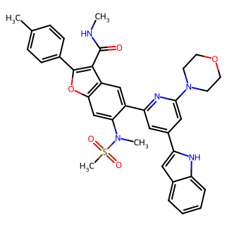 CNC(=O)c1c(-c2ccc(C)cc2)oc2cc(N(C)S(C)(=O)=O)c(-c3cc(-c4cc5ccccc5[nH]4)cc(N4CCOCC4)n3)cc12